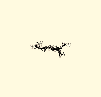 Cc1c(COc2cc(OCc3cncc(C#N)c3)c(CNCCCC(=O)O)cc2Cl)cccc1-c1cccc(-c2ccc(OCCNCCCC(=O)O)c(F)c2)c1C